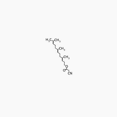 CC(C)=CCC/C(C)=C/CC/C(C)=C/CCOC(=O)CC#N